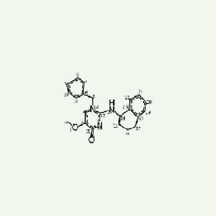 COc1cn(Cc2ccccc2)c(NC2CCCc3ccccc32)nc1=O